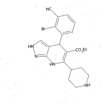 CCOC(=O)C1=C(C2CCNCC2)Nc2n[nH]cc2C1c1cccc(C#N)c1Br